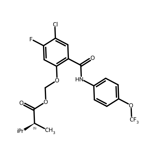 CC(C)[C@H](C)C(=O)OCOc1cc(F)c(Cl)cc1C(=O)Nc1ccc(OC(F)(F)F)cc1